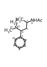 CC(=O)NC(C)CC(c1ccccc1)N(C)C